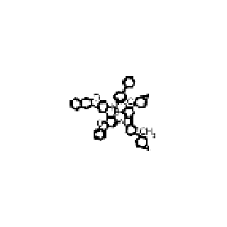 CC1(c2ccc3c(c2)c2cc(C4(C)CC=C5CC5C4)cc4c2n3-c2cc3c(oc5ccccc53)c3c2B4N(c2ccc(-c4ccccc4)cc2)c2cc4oc5cc6ccccc6cc5c4cc2-3)CC=C2CC2C1